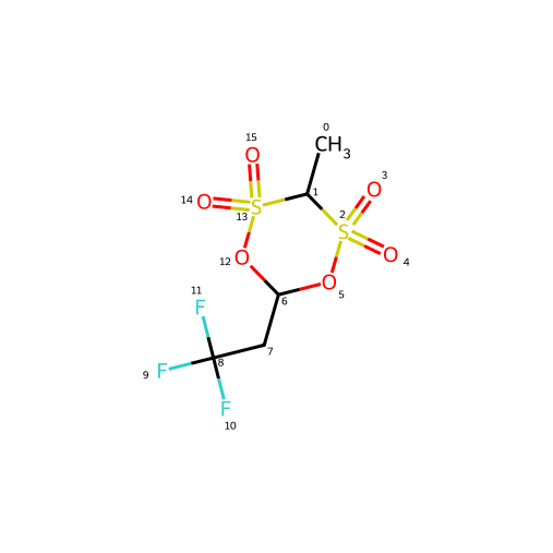 CC1S(=O)(=O)OC(CC(F)(F)F)OS1(=O)=O